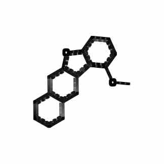 COc1cccc2oc3cc4ccccc4cc3c12